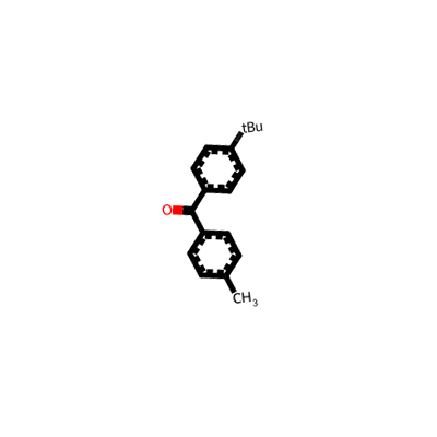 Cc1ccc(C(=O)c2ccc(C(C)(C)C)cc2)cc1